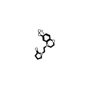 COc1ccc2c(c1)N(CCN1CCCC1=O)CCO2